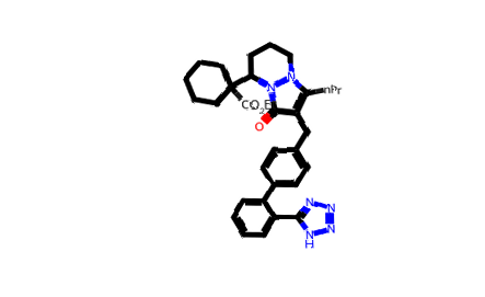 CCCc1c(Cc2ccc(-c3ccccc3-c3nnn[nH]3)cc2)c(=O)n2n1CCCC2C1(C(=O)OCC)CCCCC1